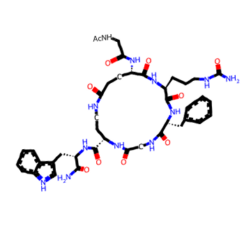 CC(=O)NCC(=O)N[C@H]1CCC(=O)NCC[C@@H](C(=O)N[C@@H](Cc2c[nH]c3ccccc23)C(N)=O)NC(=O)CNC(=O)[C@@H](Cc2ccccc2)NC(=O)[C@H](CCCNC(N)=O)NC1=O